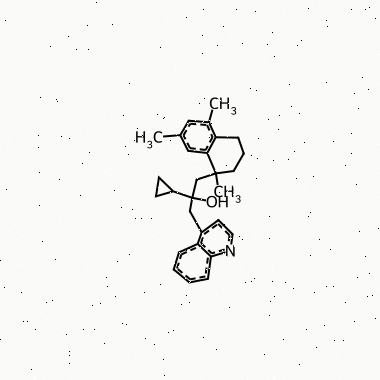 Cc1cc(C)c2c(c1)C(C)(CC(O)(Cc1ccnc3ccccc13)C1CC1)CCC2